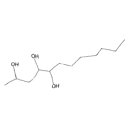 CCCCCCCC(O)C(O)CC(C)O